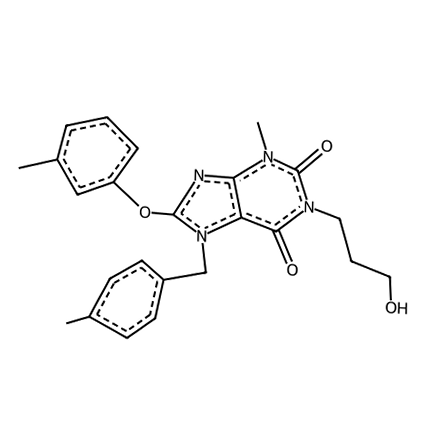 Cc1ccc(Cn2c(Oc3cccc(C)c3)nc3c2c(=O)n(CCCO)c(=O)n3C)cc1